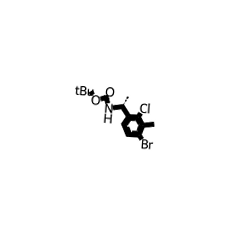 Cc1c(Br)ccc([C@@H](C)NC(=O)OC(C)(C)C)c1Cl